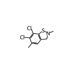 Cc1cc2c(c(Cl)c1Cl)SN(C)C2